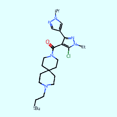 CCn1nc(-c2cnn(C(C)C)c2)c(C(=O)N2CCC3(CCN(CCC(C)(C)C)CC3)CC2)c1Cl